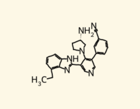 CCc1cccc2[nH]c(-c3cncc(-c4cccc(C#N)c4)c3N3CC[C@H](N)C3)nc12